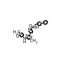 Cc1cc(Nc2ccn(C)c(=O)c2)nc(-c2ccc(C(=O)NCc3ccc(-c4ccccc4)nc3)nc2)n1